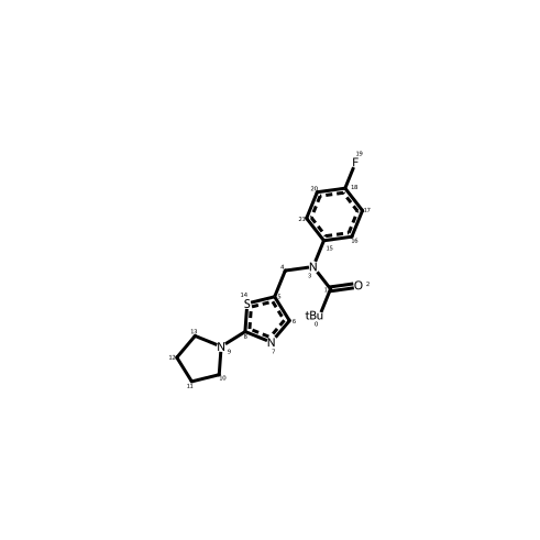 CC(C)(C)C(=O)N(Cc1cnc(N2CCCC2)s1)c1ccc(F)cc1